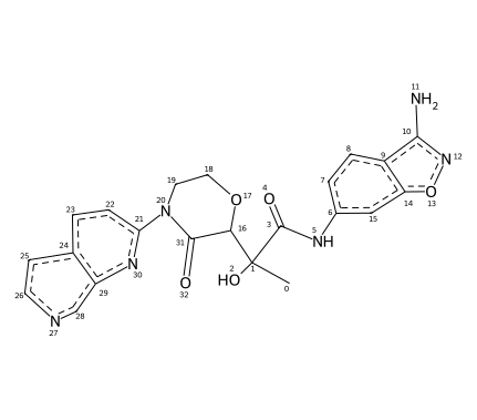 CC(O)(C(=O)Nc1ccc2c(N)noc2c1)C1OCCN(c2ccc3ccncc3n2)C1=O